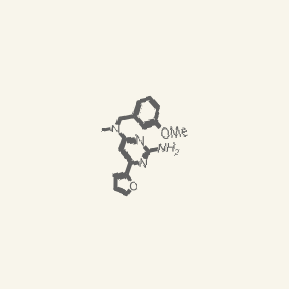 COc1cccc(CN(C)c2cc(-c3ccco3)nc(N)n2)c1